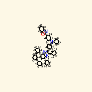 c1ccc(-c2ccccc2-c2cc3nc(-c4ccccc4)c(-c4ccc(N(c5ccccc5)c5ccc(-c6nc7ccccc7o6)cc5)cc4)nc3cc2-c2ccccc2-c2ccccc2)cc1